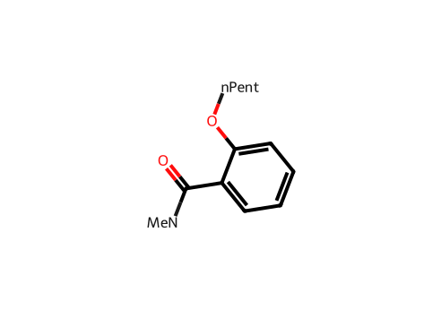 CCCCCOc1ccccc1C(=O)NC